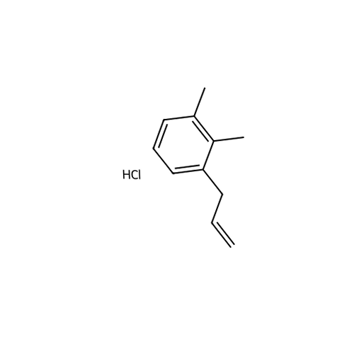 C=CCc1cccc(C)c1C.Cl